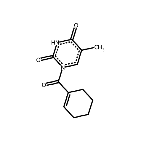 Cc1cn(C(=O)C2=CCCCC2)c(=O)[nH]c1=O